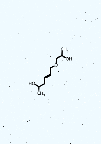 CC(O)CC=CCOCC(C)O